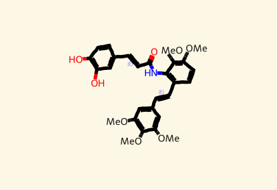 COc1cc(/C=C/c2ccc(OC)c(OC)c2NC(=O)/C=C/c2ccc(O)c(O)c2)cc(OC)c1OC